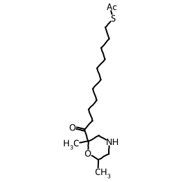 CC(=O)SCCCCCCCCCCC(=O)C1(C)CNCC(C)O1